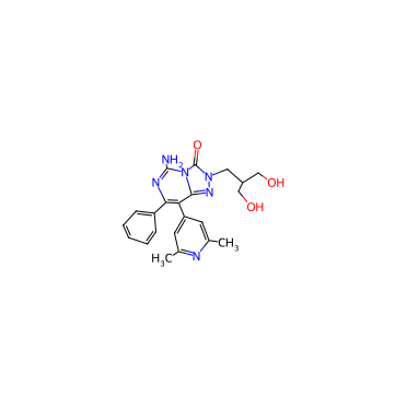 Cc1cc(-c2c(-c3ccccc3)nc(N)n3c(=O)n(CC(CO)CO)nc23)cc(C)n1